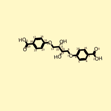 O=C(O)c1ccc(OC[C@H](O)[C@@H](O)COc2ccc(C(=O)O)cc2)cc1